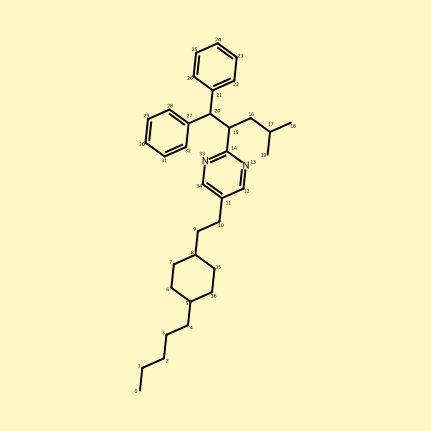 CCCCCC1CCC(CCc2cnc(C(CC(C)C)C(c3ccccc3)c3ccccc3)nc2)CC1